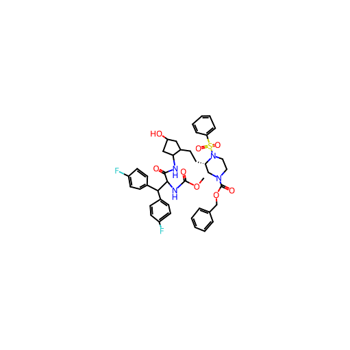 COC(=O)NC(C(=O)NC1CC(O)CC1CC[C@H]1CN(C(=O)OCc2ccccc2)CCN1S(=O)(=O)c1ccccc1)C(c1ccc(F)cc1)c1ccc(F)cc1